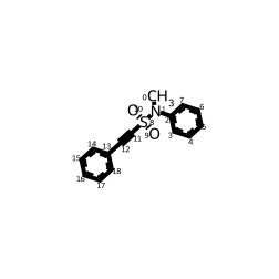 CN(c1ccccc1)S(=O)(=O)C#Cc1ccccc1